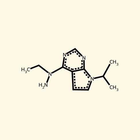 CCN(N)c1ncnc2c1ccn2C(C)C